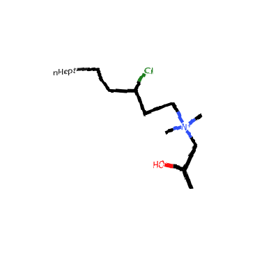 CCCCCCCCCC(Cl)CC[N+](C)(C)CC(C)O